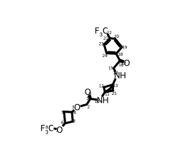 O=C(COC1CC(OC(F)(F)F)C1)NC12CC(NCC(=O)c3ccc(C(F)(F)F)cc3)(C1)C2